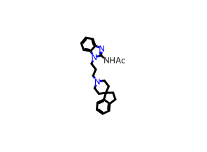 CC(=O)Nc1nc2ccccc2n1CCCN1CCC2(CCc3ccccc32)CC1